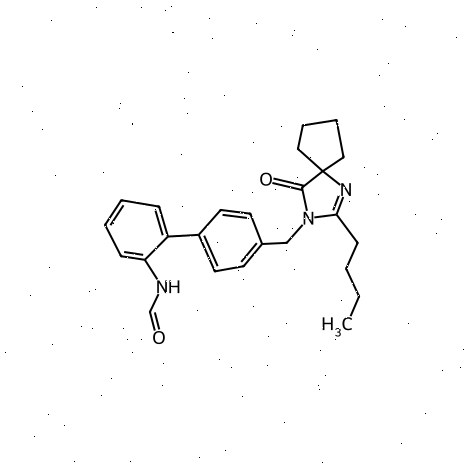 CCCCC1=NC2(CCCC2)C(=O)N1Cc1ccc(-c2ccccc2NC=O)cc1